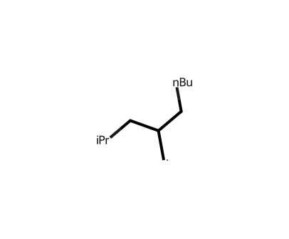 [CH2]CCCCC([CH2])CC(C)C